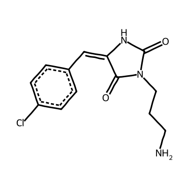 NCCCN1C(=O)N/C(=C/c2ccc(Cl)cc2)C1=O